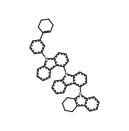 C1=C(c2cccc(-n3c4ccccc4c4c(-n5c6ccccc6c6c(-n7c8c(c9ccccc97)CCCC8)cccc65)cccc43)c2)CCCC1